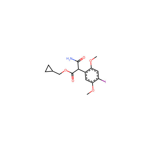 COc1cc(C(C(N)=O)C(=O)OCC2CC2)c(OC)cc1I